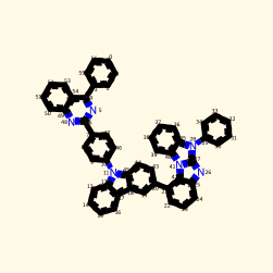 c1ccc(-c2nc(-c3ccc(-n4c5ccccc5c5cc(-c6cccc7nc8n(-c9ccccc9)c9ccccc9n8c67)ccc54)cc3)nc3ccccc23)cc1